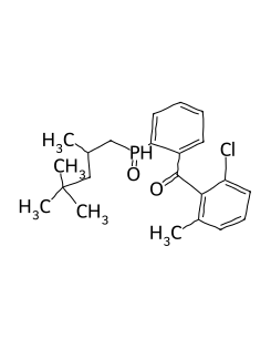 Cc1cccc(Cl)c1C(=O)c1ccccc1[PH](=O)CC(C)CC(C)(C)C